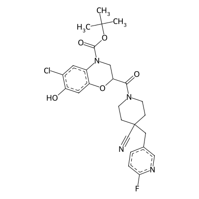 CC(C)(C)OC(=O)N1CC(C(=O)N2CCC(C#N)(Cc3ccc(F)nc3)CC2)Oc2cc(O)c(Cl)cc21